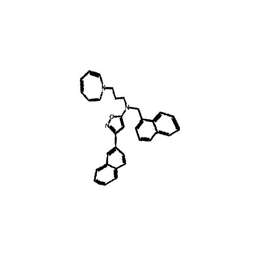 C1=CC=CN(CCCN(Cc2cccc3ccccc23)c2cc(-c3ccc4ccccc4c3)no2)C=C1